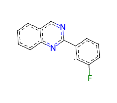 Fc1[c]c(-c2ncc3ccccc3n2)ccc1